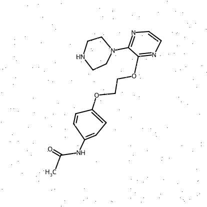 CC(=O)Nc1ccc(OCCOc2nccnc2N2CCNCC2)cc1